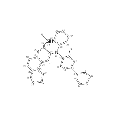 Cc1cc(-c2ccccc2)ccc1N(c1ccc2ccc3ccccc3c2c1)c1ccccc1[SiH](C)C